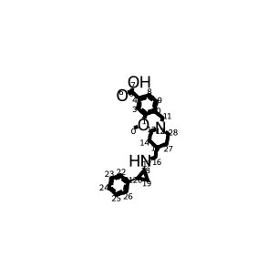 COc1cc(C(=O)O)ccc1CN1CCC(CN[C@@H]2C[C@H]2c2ccccc2)CC1